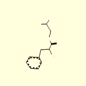 CCCCCCC(CCCCCC)COC(=O)C(N)Cc1ccccc1